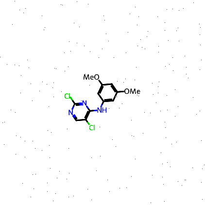 COc1cc(Nc2nc(Cl)ncc2Cl)cc(OC)c1